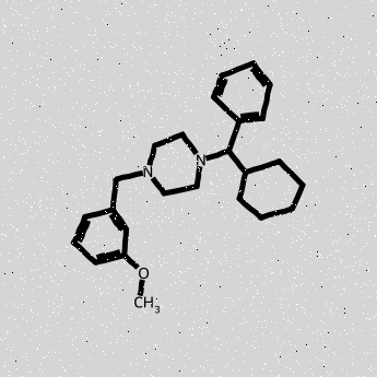 COc1cccc(CN2CCN(C(c3ccccc3)C3CCCCC3)CC2)c1